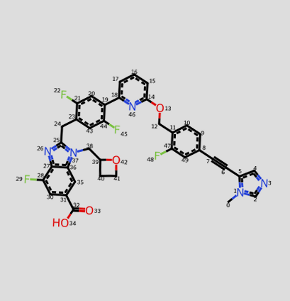 Cn1cncc1C#Cc1ccc(COc2cccc(-c3cc(F)c(Cc4nc5c(F)cc(C(=O)O)cc5n4CC4CCO4)cc3F)n2)c(F)c1